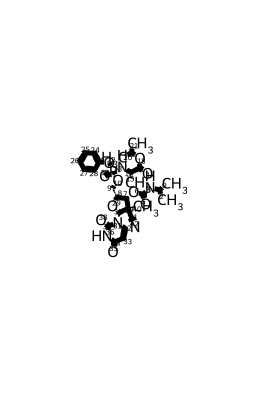 CC(C)NC(=O)O[C@@H]1[C@@H](COP(=O)(N[C@@H](C)C(=O)OC(C)C)Oc2ccccc2)O[C@@H](n2ccc(=O)[nH]c2=O)[C@]1(C)C#N